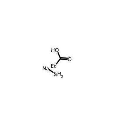 CCC(=O)O.[Na][SiH3]